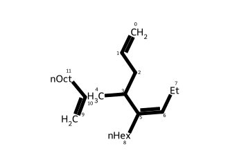 C=CCC(C)C(=CCC)CCCCCC.C=CCCCCCCCC